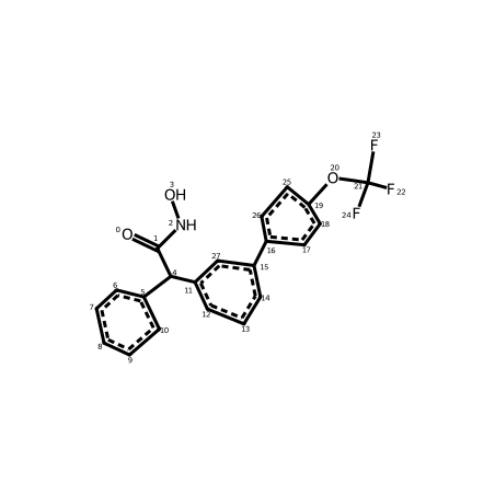 O=C(NO)C(c1ccccc1)c1cccc(-c2ccc(OC(F)(F)F)cc2)c1